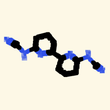 N#CNc1cccc(-c2cccc(NC#N)n2)n1